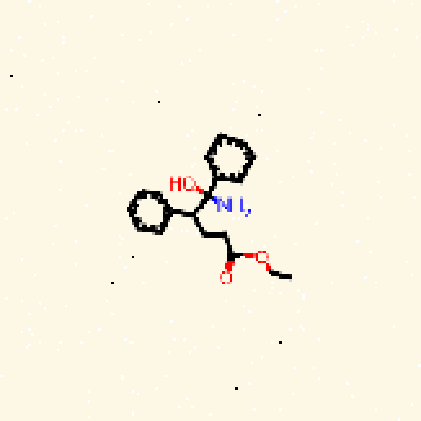 CCOC(=O)CCC(c1ccccc1)C(N)(O)c1ccccc1